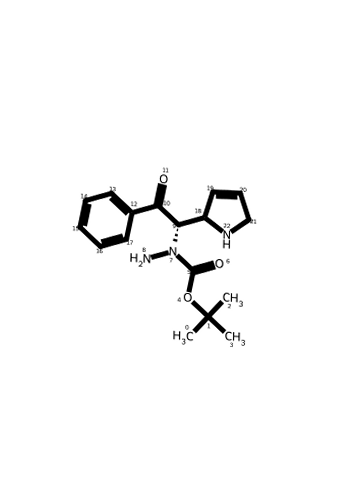 CC(C)(C)OC(=O)N(N)[C@H](C(=O)c1ccccc1)C1C=CCN1